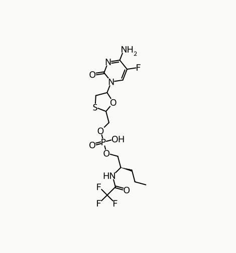 CCC[C@H](COP(=O)(O)OCC1OC(n2cc(F)c(N)nc2=O)CS1)NC(=O)C(F)(F)F